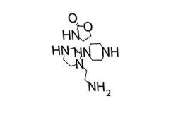 C1CNCCN1.NCCN1CCNCC1.O=C1NCCO1